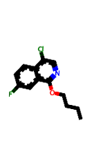 CCCCOc1ncc(Cl)c2ccc(F)cc12